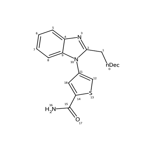 CCCCCCCCCCCc1nc2ccccc2n1-c1csc(C(N)=O)c1